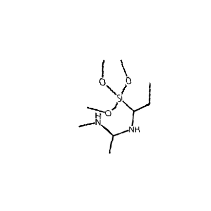 CCC(NC(C)NC)[Si](OC)(OC)OC